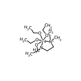 CC[O][Ta]1([O]CC)([O]CC)([O]CC)[N](C)CC[N+]1(C)C